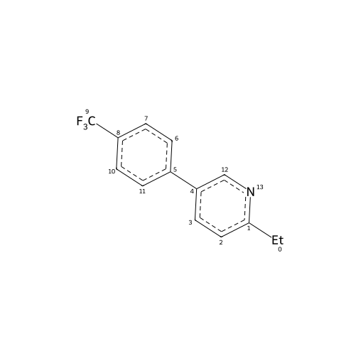 CCc1ccc(-c2ccc(C(F)(F)F)cc2)cn1